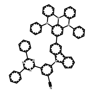 N#Cc1cc(-c2nc(-c3ccccc3)nc(-c3ccccc3)n2)cc(-n2c3ccccc3c3cc(-c4cc5c6c(c4)N(c4ccccc4)c4ccccc4B6c4ccccc4N5c4ccccc4)ccc32)c1